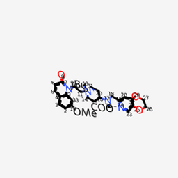 COc1ccc2ccc(=O)n(CC[N+]3(C(C)(C)C)CCC(N(Cc4cc5c(cn4)OCCO5)C(=O)[O-])CC3)c2c1